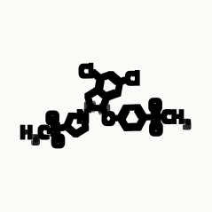 CS(=O)(=O)c1ccc(O[C@@H]2c3cc(Cl)cc(Cl)c3C[C@@H]2N2CCC(S(C)(=O)=O)C2)cc1